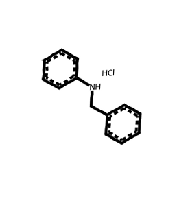 Cl.[c]1ccc(NCc2ccccc2)cc1